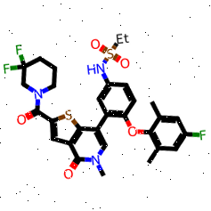 CCS(=O)(=O)Nc1ccc(Oc2c(C)cc(F)cc2C)c(-c2cn(C)c(=O)c3cc(C(=O)N4CCCC(F)(F)C4)sc23)c1